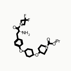 CC(C)OC(=O)N1CCC(O[C@H]2CC[C@H](Oc3ccc(C[C@@H](N)C(=O)N4CC(F)(F)C4)cc3)CC2)CC1